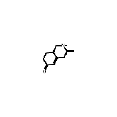 CC1CC2=CC(=O)CCC2CN1